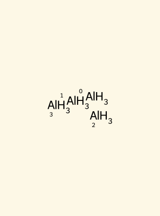 [AlH3].[AlH3].[AlH3].[AlH3]